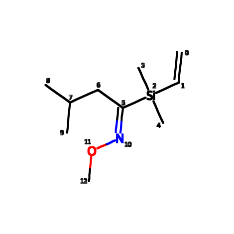 C=C[Si](C)(C)C(CC(C)C)=NOC